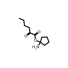 CCCCC(=O)C(=O)OC1(N)CCCC1